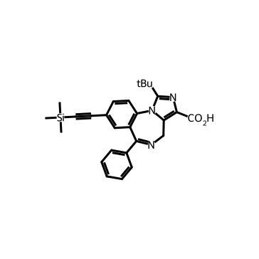 CC(C)(C)c1nc(C(=O)O)c2n1-c1ccc(C#C[Si](C)(C)C)cc1C(c1ccccc1)=NC2